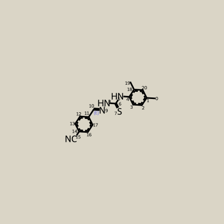 Cc1ccc(NC(=S)N/N=C/c2ccc(C#N)cc2)c(C)c1